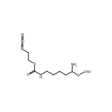 [N-]=[N+]=NCCOC(=O)NCCCCC(N)OC=O